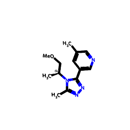 COC[C@H](C)n1c(C)nnc1-c1cncc(C)c1